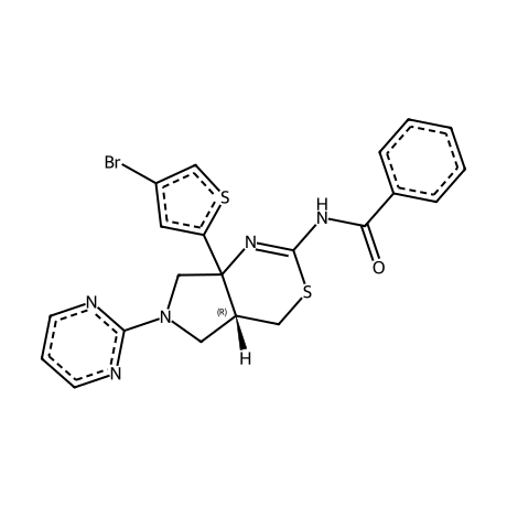 O=C(NC1=NC2(c3cc(Br)cs3)CN(c3ncccn3)C[C@H]2CS1)c1ccccc1